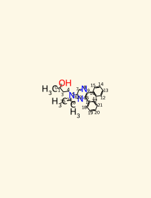 CC(O)CCN(c1cnc(-c2ccccc2)c(-c2ccccc2)n1)C(C)C